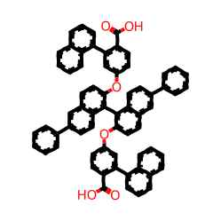 O=C(O)c1ccc(Oc2ccc3cc(-c4ccccc4)ccc3c2-c2c(Oc3ccc(C(=O)O)c(-c4cccc5ccccc45)c3)ccc3cc(-c4ccccc4)ccc23)cc1-c1cccc2ccccc12